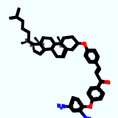 CC(C)CCC[C@@H](C)[C@H]1CCC2C3CC=C4CC(Oc5ccc(C=CC(=O)c6ccc(Oc7ccc(N)cc7N)cc6)cc5)CC[C@]4(C)C3CC[C@@]21C